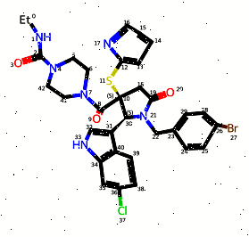 CCNC(=O)N1CCN(C(=O)[C@]2(Sc3ccccn3)CC(=O)N(Cc3ccc(Br)cc3)[C@H]2c2c[nH]c3cc(Cl)ccc23)CC1